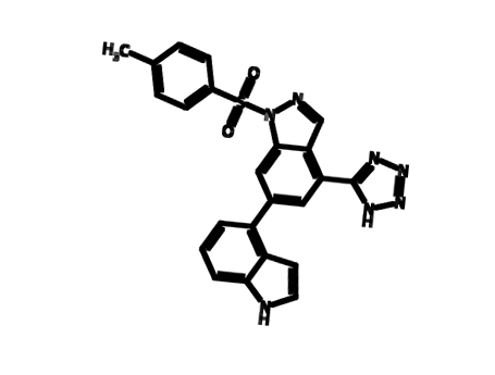 Cc1ccc(S(=O)(=O)n2ncc3c(-c4nnn[nH]4)cc(-c4cccc5[nH]ccc45)cc32)cc1